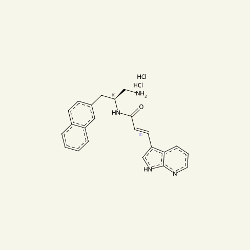 Cl.Cl.NC[C@H](Cc1ccc2ccccc2c1)NC(=O)/C=C/c1c[nH]c2ncccc12